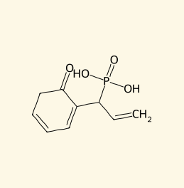 C=CC(C1=CC=CCC1=O)P(=O)(O)O